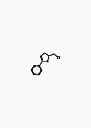 ClCC1CC=C(c2ccccc2)S1